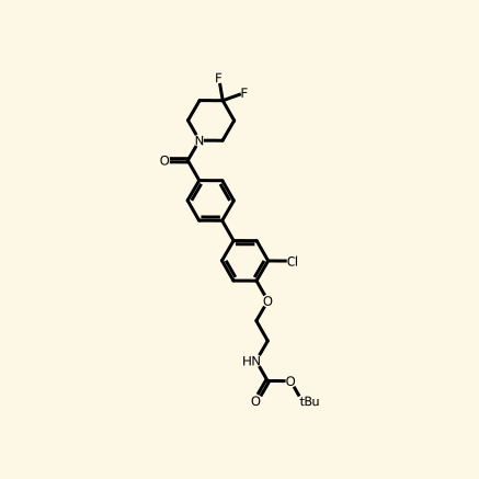 CC(C)(C)OC(=O)NCCOc1ccc(-c2ccc(C(=O)N3CCC(F)(F)CC3)cc2)cc1Cl